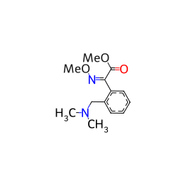 CON=C(C(=O)OC)c1ccccc1CN(C)C